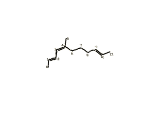 CC=CC=C(C)CCCC=CC